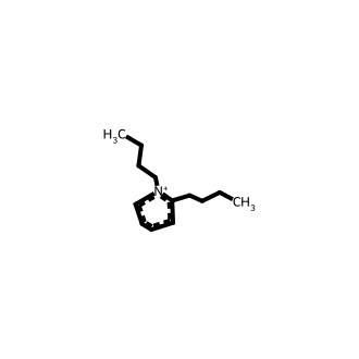 CCCCc1cccc[n+]1CCCC